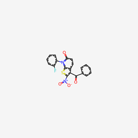 O=C(c1ccccc1)c1c([N+](=O)[O-])sc2c1ccc(=O)n2-c1ccccc1F